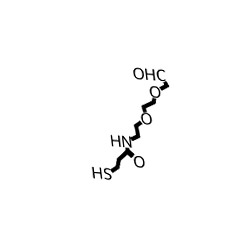 O=CCOCCOCCNC(=O)CCS